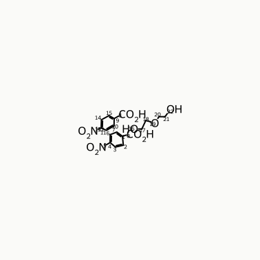 O=C(O)c1ccc([N+](=O)[O-])cc1.O=C(O)c1ccc([N+](=O)[O-])cc1.OCCOCCO